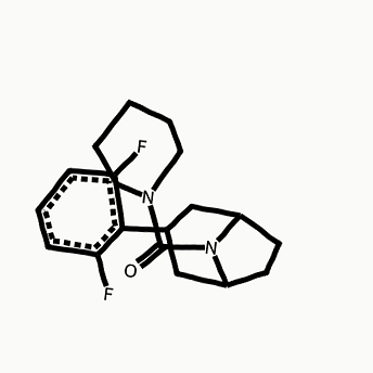 O=C(N1CCCCC1)N1C2CCC1CC(c1c(F)cccc1F)C2